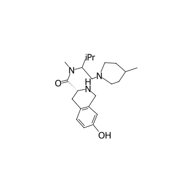 CC1CCN(CC(C(C)C)N(C)C(=O)[C@H]2Cc3ccc(O)cc3CN2)CC1